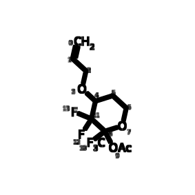 C=CCOC1CCOC(OC(C)=O)(C(F)(F)F)C1(F)F